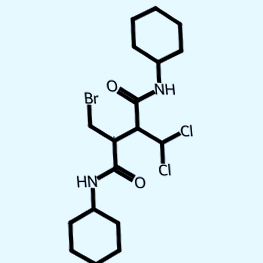 O=C(NC1CCCCC1)[C](CBr)C(C(=O)NC1CCCCC1)C(Cl)Cl